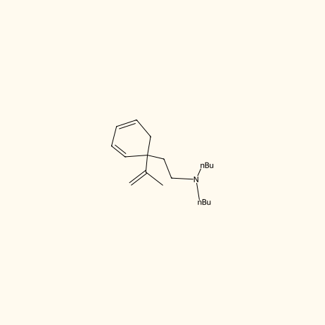 C=C(C)C1(CCN(CCCC)CCCC)C=CC=CC1